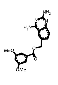 COc1cc(OC)cc(C(=O)OCc2ccc3nc(N)nc(N)c3c2)c1